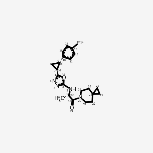 C[C@H](Nc1nnc([C@H]2C[C@@H]2c2ccc(F)cc2)o1)C(=O)N1CCC2(CC1)CC2